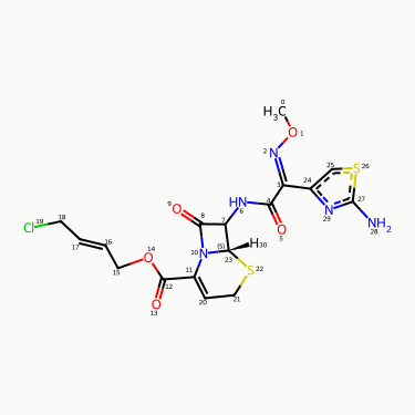 CON=C(C(=O)NC1C(=O)N2C(C(=O)OCC=CCCl)=CCS[C@@H]12)c1csc(N)n1